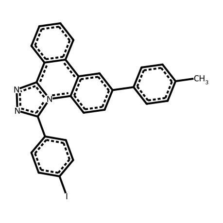 Cc1ccc(-c2ccc3c(c2)c2ccccc2c2nnc(-c4ccc(I)cc4)n32)cc1